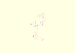 COc1ccc2ncnc(O[C@H]3C[C@@H](CNC(C)=O)N(C[C@@H]4CN(c5ccc6c(c5)NC(=O)CS6)C(=O)O4)C3)c2c1